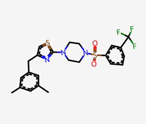 Cc1cc(C)cc(Cc2csc(N3CCN(S(=O)(=O)c4cccc(C(F)(F)F)c4)CC3)n2)c1